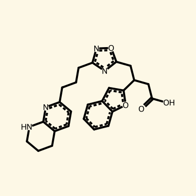 O=C(O)CC(Cc1nc(CCCc2ccc3c(n2)NCCC3)no1)c1cc2ccccc2o1